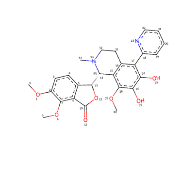 COc1ccc2c(c1OC)C(=O)OC2[C@H]1c2c(c(-c3ccccn3)c(O)c(O)c2OC)CCN1C